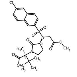 COC(=O)CN([C@H]1CCN([C@](C)(C(=O)O)C(C)(C)C)C1=O)S(=O)(=O)c1ccc2cc(Cl)ccc2c1